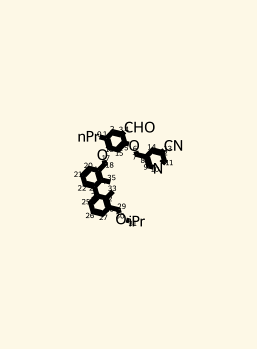 CCCc1cc(C=O)c(OCc2cncc(C#N)c2)cc1OCc1cccc(-c2cccc(COC(C)C)c2C)c1C